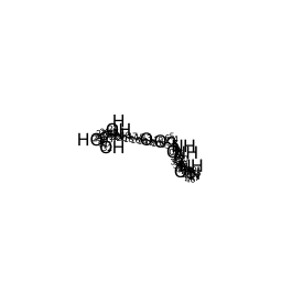 O=C(Nc1cccc(COCCCOCCCCCCCNC[C@H](O)c2ccc(O)c(CO)c2)c1)Nc1cccc(NC(=O)c2cccnc2)c1